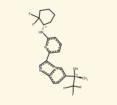 C[C@](O)(c1ccc2ncc(-c3cccc(N[C@H]4CCCCC4(F)F)n3)n2c1)C(F)(F)F